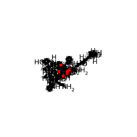 CC(C)C[C@H](NC(=O)[C@H](Cc1ccccc1)NC(=O)[C@H](CC(C)C)NC(=O)[C@H](Cc1ccc(O)cc1)NC(=O)[C@@H]1CCCN1C(=O)[C@H](Cc1c[nH]cn1)NC(=O)[C@H](Cc1c[nH]c2ccccc12)NC(=O)[C@@H](N)CC(C)C)C(=O)N[C@@H](Cc1c[nH]c2ccccc12)C(=O)N[C@@H](CCCCN)C(=O)NCC(=O)NCC(=O)NCC(=O)N[C@@H](CCCCNC(=O)CCCC[C@@H]1SC[C@@H]2NC(=O)N[C@@H]21)C(N)=O